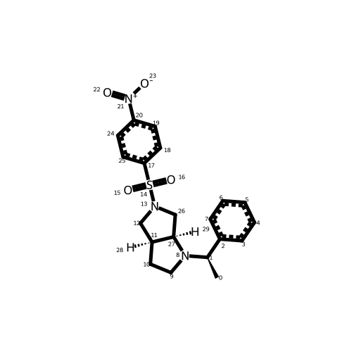 C[C@H](c1ccccc1)N1CC[C@H]2CN(S(=O)(=O)c3ccc([N+](=O)[O-])cc3)C[C@H]21